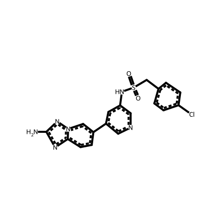 Nc1nc2ccc(-c3cncc(NS(=O)(=O)Cc4ccc(Cl)cc4)c3)cn2n1